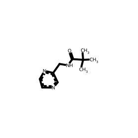 CC(C)(C)C(=O)NCc1cnccn1